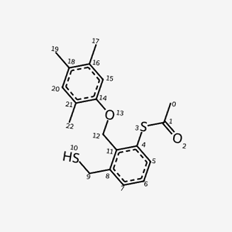 CC(=O)Sc1cccc(CS)c1COc1cc(C)c(C)cc1C